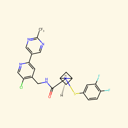 O=C(NCc1cc(-c2cnc(C(F)(F)F)nc2)ncc1Cl)[C@@H]1C2CC(C2)N1Sc1ccc(F)c(F)c1